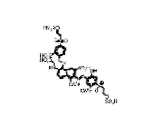 COc1cc(/N=N/c2c(S(=O)(=O)O)cc3c(/N=N/c4ccc(S(=O)(=O)CCOS(=O)(=O)O)cc4S(=O)(=O)O)c(NCS(=O)(=O)O)ccc3c2OC)c(O)cc1S(=O)(=O)CCOS(=O)(=O)O